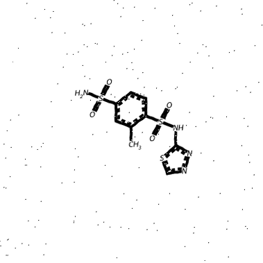 Cc1cc(S(N)(=O)=O)ccc1S(=O)(=O)Nc1nncs1